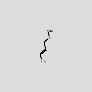 C/C=C/COC=O